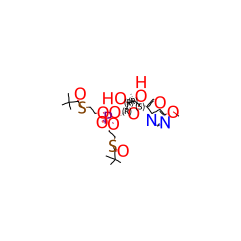 COc1ncnc2c([C@@H]3O[C@H](COP(=O)(OCCSC(=O)C(C)(C)C)OCCSC(=O)C(C)(C)C)[C@@H](O)[C@@]3(C)O)coc12